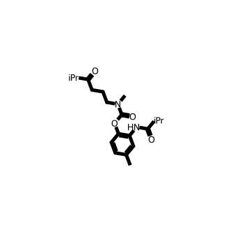 Cc1ccc(OC(=O)N(C)CCCC(=O)C(C)C)c(NC(=O)C(C)C)c1